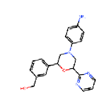 Nc1ccc(N2CC(c3cccc(CO)c3)OC(c3ncccn3)C2)cc1